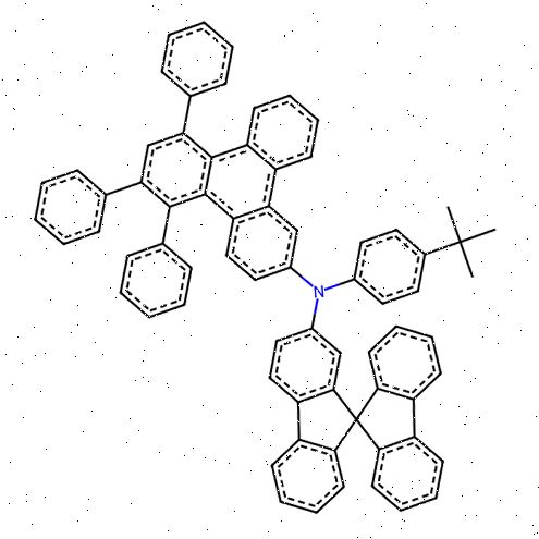 CC(C)(C)c1ccc(N(c2ccc3c(c2)C2(c4ccccc4-c4ccccc42)c2ccccc2-3)c2ccc3c(c2)c2ccccc2c2c(-c4ccccc4)cc(-c4ccccc4)c(-c4ccccc4)c32)cc1